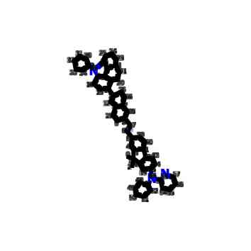 CC1(C)c2cc(/C=C/c3ccc4cc(-c5ccc6c7c5ccc5cccc(c57)n6-c5ccccc5)ccc4c3)ccc2-c2ccc(N(c3ccccc3)c3ccccn3)cc21